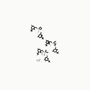 Cc1cc(CNC2COCC2NCc2cc(C)cc(C(C)(C)C)c2[O-])c([O-])c(C(C)(C)C)c1.Cc1cc(CNC2COCC2NCc2cc(C)cc(C(C)(C)C)c2[O-])c([O-])c(C(C)(C)C)c1.Cc1cc(CNC2COCC2NCc2cc(C)cc(C(C)(C)C)c2[O-])c([O-])c(C(C)(C)C)c1.[Cl-].[Mn+3].[Mn+3]